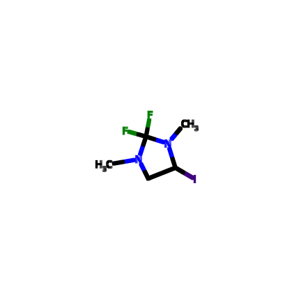 CN1CC(I)N(C)C1(F)F